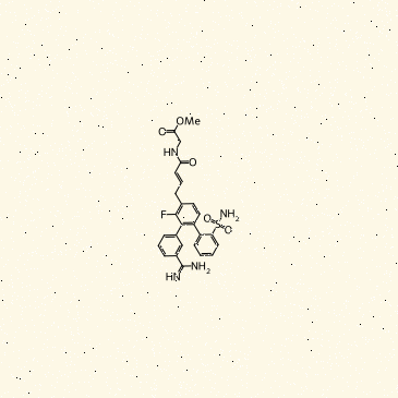 COC(=O)CNC(=O)C=CCc1ccc(-c2ccccc2S(N)(=O)=O)c(-c2cccc(C(=N)N)c2)c1F